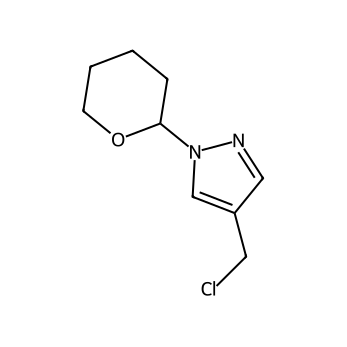 ClCc1cnn(C2CCCCO2)c1